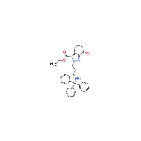 CCOC(=O)c1c2c(nn1CCCNC(c1ccccc1)(c1ccccc1)c1ccccc1)C(=O)CCC2